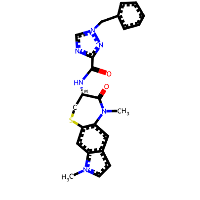 CN1C(=O)[C@@H](NC(=O)c2ncn(Cc3ccccc3)n2)CSc2cc3c(ccn3C)cc21